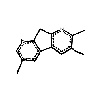 Cc1cnc2c(c1)-c1cc(C)c(C)nc1C2